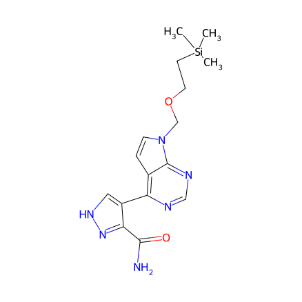 C[Si](C)(C)CCOCn1ccc2c(-c3c[nH]nc3C(N)=O)ncnc21